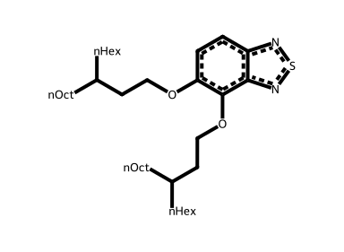 CCCCCCCCC(CCCCCC)CCOc1ccc2nsnc2c1OCCC(CCCCCC)CCCCCCCC